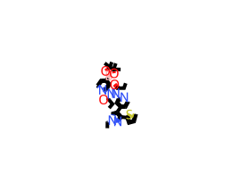 CCC(=O)N(c1cc(B2OC(C)(C)C(C)(C)O2)ccn1)N(C(=O)CC)c1cc(-c2cn(CC)nc2-c2cccs2)ccn1